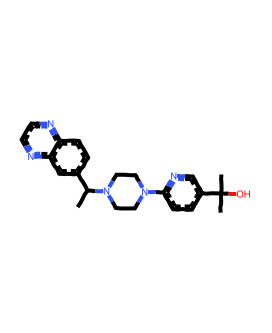 CC(c1ccc2nccnc2c1)N1CCN(c2ccc(C(C)(C)O)cn2)CC1